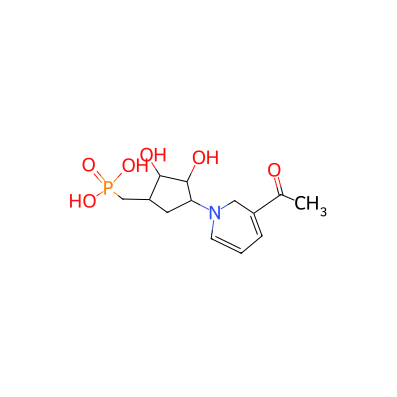 CC(=O)C1=CC=CN(C2CC(CP(=O)(O)O)C(O)C2O)C1